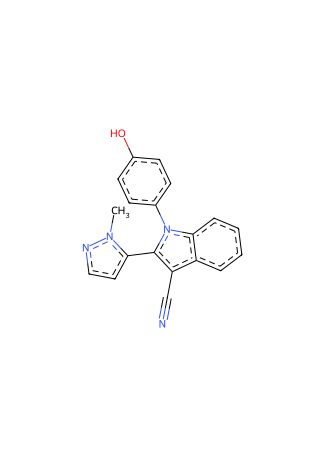 Cn1nccc1-c1c(C#N)c2ccccc2n1-c1ccc(O)cc1